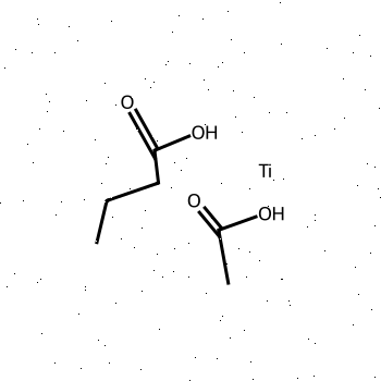 CC(=O)O.CCCC(=O)O.[Ti]